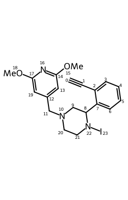 C#Cc1ccccc1C1CN(Cc2cc(OC)nc(OC)c2)CCN1I